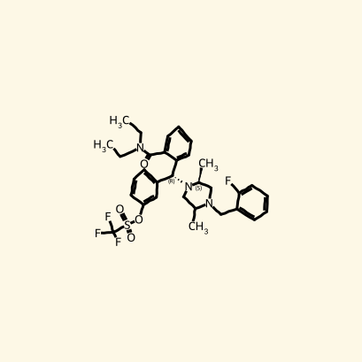 CCN(CC)C(=O)c1ccccc1[C@@H](c1cccc(OS(=O)(=O)C(F)(F)F)c1)N1CC(C)N(Cc2ccccc2F)C[C@@H]1C